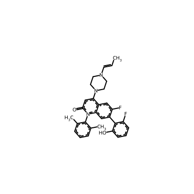 CC=CN1CCN(c2cc(=O)n(-c3c(C)cccc3C)c3cc(-c4c(O)cccc4F)c(F)cc23)CC1